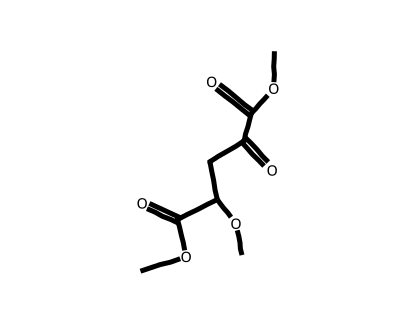 COC(=O)C(=O)CC(OC)C(=O)OC